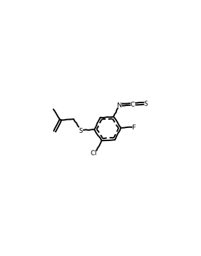 C=C(C)CSc1cc(N=C=S)c(F)cc1Cl